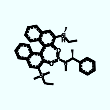 CC[Si@@H](C)c1cc2ccccc2c2c1op(N(C)[C@@H](C)c1ccccc1)oc1c([Si](C)(C)CC)cc3ccccc3c12